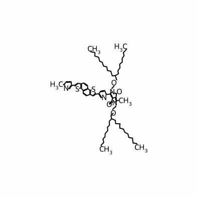 CCCCCCCCCCCCC(CCCCCCCCCC)COCCN1C(=O)C2=C(c3ccc(-c4cc5ccc6c(ccc7cc(-c8ccc(C)nc8)sc76)c5s4)cn3)N(CCOCC(CCCCCCCCCC)CCCCCCCCCCCC)C(=O)C2=C1C